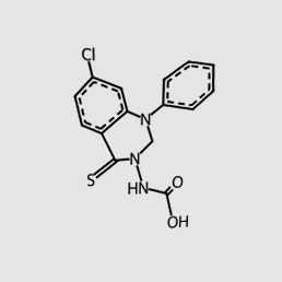 O=C(O)NN1CN(c2ccccc2)c2cc(Cl)ccc2C1=S